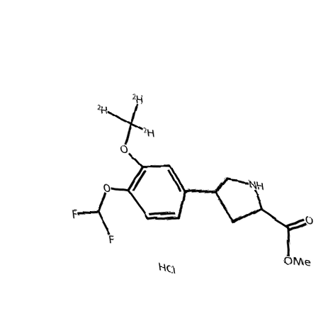 Cl.[2H]C([2H])([2H])Oc1cc(C2CNC(C(=O)OC)C2)ccc1OC(F)F